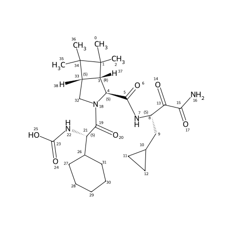 CC1(C)[C@@H]2[C@@H](C(=O)N[C@@H](CC3CC3)C(=O)C(N)=O)N(C(=O)[C@@H](NC(=O)O)C3CCCCC3)C[C@@H]2C1(C)C